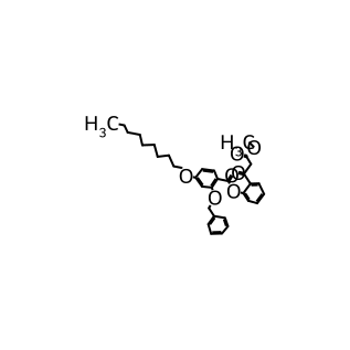 CCCCCCCCCCOc1ccc(C(=O)Oc2ccccc2C(=O)CC(=O)OC)c(OCc2ccccc2)c1